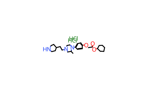 CC1CN(CCC2CCNCC2)CCN1c1ccc(OCC(=O)OC2CCCCC2)cc1.Cl.Cl